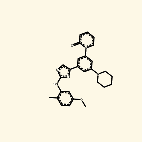 COc1ccc(C)c(Nc2ncc(-c3cc(N4CCCCC4)cc(-n4ccccc4=O)c3)o2)c1